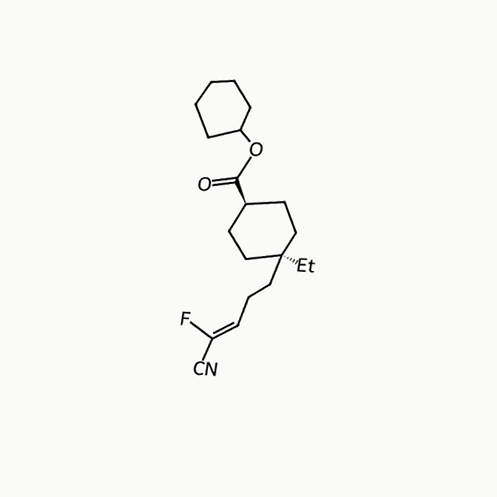 CC[C@]1(CCC=C(F)C#N)CC[C@@H](C(=O)OC2CCCCC2)CC1